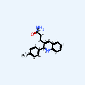 CCC(C)c1ccc(-c2nc3ccccc3cc2CCC(N)=O)cc1